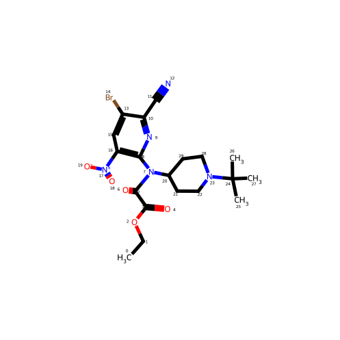 CCOC(=O)C(=O)N(c1nc(C#N)c(Br)cc1[N+](=O)[O-])C1CCN(C(C)(C)C)CC1